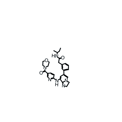 CCC(C)NC(=O)Cc1cccc(C2=CN3CCN=C3C(Nc3ccc(C(=O)N4CCOCC4)cn3)=C2)c1